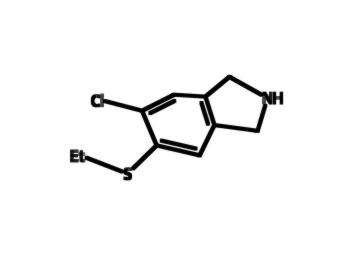 CCSc1cc2c(cc1Cl)CNC2